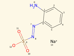 Nc1ccccc1N=NS(=O)(=O)[O-].[Na+]